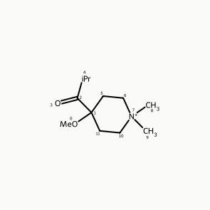 COC1(C(=O)C(C)C)CC[N+](C)(C)CC1